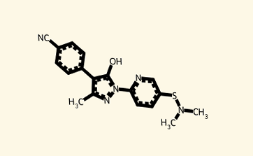 Cc1nn(-c2ccc(SN(C)C)cn2)c(O)c1-c1ccc(C#N)cc1